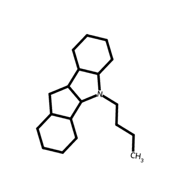 CCCCN1C2CCCCC2C2CC3CCCCC3C21